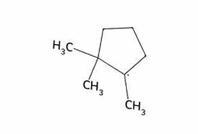 C[C]1CCCC1(C)C